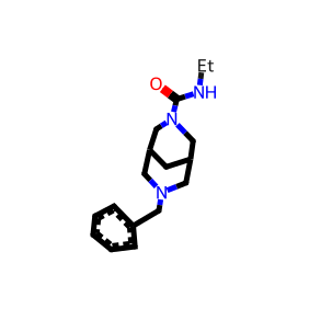 CCNC(=O)N1CC2CC(CN(Cc3ccccc3)C2)C1